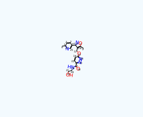 Cc1ccc(-c2noc(C)c2COc2ccc(C(=O)NCCO)nn2)cn1